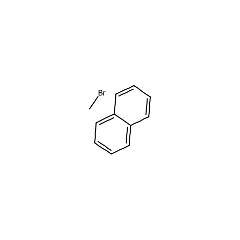 CBr.c1ccc2ccccc2c1